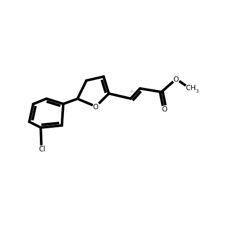 COC(=O)/C=C/C1=CCC(c2cccc(Cl)c2)O1